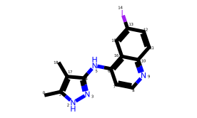 Cc1[nH]nc(Nc2ccnc3ccc(I)cc23)c1C